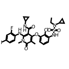 CCN(C1CC1)S(=O)(=O)Nc1cccc(Oc2c(C(=O)NC3CC3)c(Nc3ccc(I)cc3F)n(C)c(=O)c2C)c1Cl